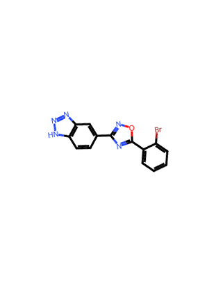 Brc1ccccc1-c1nc(-c2ccc3[nH]nnc3c2)no1